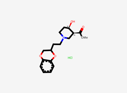 COC(=O)[C@H]1CN(CCC2COc3ccccc3O2)CC[C@H]1O.Cl